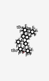 CC(C)(C)c1c(F)c(F)c(B(c2ccc3c(c2)N(c2ccccc2)c2cccc4c(B(c5c(F)c(F)c(F)c(F)c5F)c5c(F)c(F)c(C(C)(C)C)c(F)c5F)ccc-3c24)c2c(F)c(F)c(F)c(F)c2F)c(F)c1F